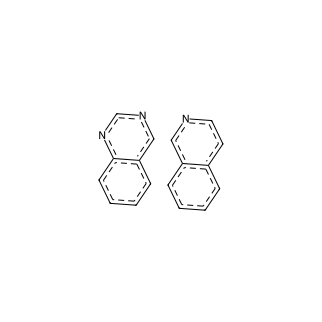 c1ccc2cnccc2c1.c1ccc2ncncc2c1